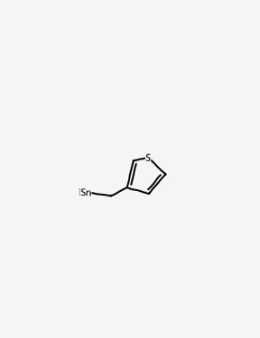 [Sn][CH2]c1ccsc1